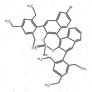 CCc1cc(CC)c(-c2cc3ccccc3c3c2OP(N)(=O)Oc2c(-c4c(CC)cc(CC)cc4CC)cc4cc(Br)ccc4c2-3)c(CC)c1